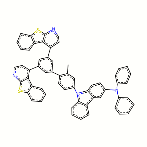 Cc1cc(-n2c3ccccc3c3cc(N(c4ccccc4)c4ccccc4)ccc32)ccc1-c1cc(-c2ccnc3sc4ccccc4c23)cc(-c2ccnc3sc4ccccc4c23)c1